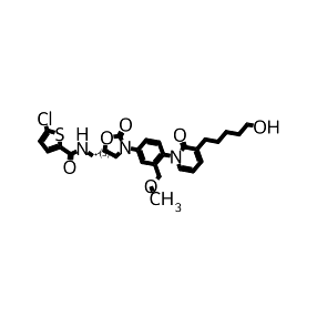 COCc1cc(N2C[C@H](CNC(=O)c3ccc(Cl)s3)OC2=O)ccc1-n1cccc(CCCCCO)c1=O